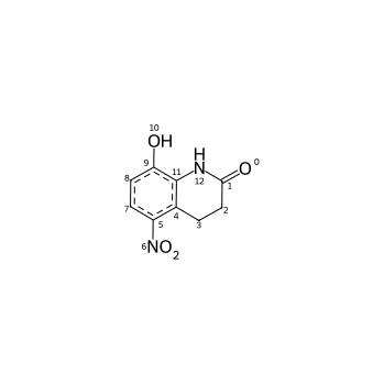 O=C1CCc2c([N+](=O)[O-])ccc(O)c2N1